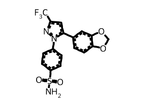 NS(=O)(=O)c1ccc(-n2nc(C(F)(F)F)cc2-c2ccc3c(c2)OCO3)cc1